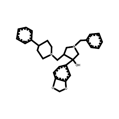 OC1(c2ccc3c(c2)OCO3)CN(Cc2ccccc2)CC1CN1CCC(c2ccccc2)CC1